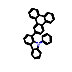 c1ccc(-n2c3ccccc3c3cccc(-c4ccc5c6ccccc6c6ccccc6c5c4)c32)cc1